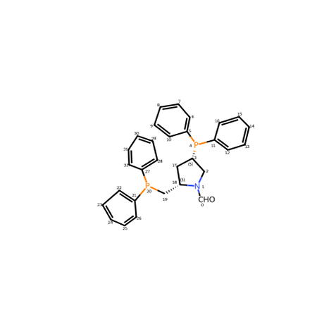 O=CN1C[C@@H](P(c2ccccc2)c2ccccc2)C[C@H]1CP(c1ccccc1)c1ccccc1